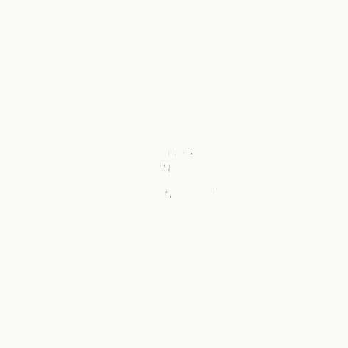 CCCCCCn1c(CC[O])nc2c1CCCC2